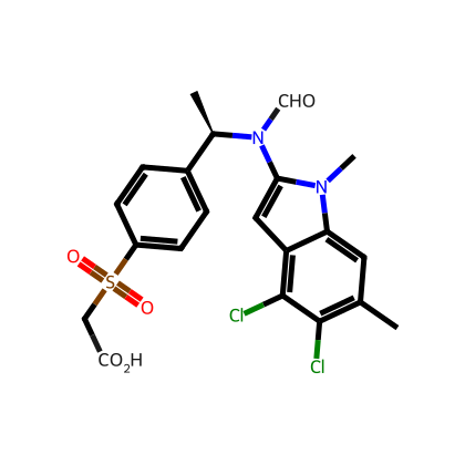 Cc1cc2c(cc(N(C=O)[C@H](C)c3ccc(S(=O)(=O)CC(=O)O)cc3)n2C)c(Cl)c1Cl